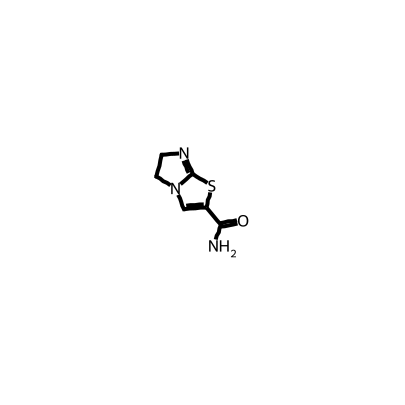 NC(=O)C1=CN2CCN=C2S1